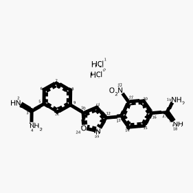 Cl.Cl.N=C(N)c1cccc(-c2cc(-c3ccc(C(=N)N)cc3[N+](=O)[O-])no2)c1